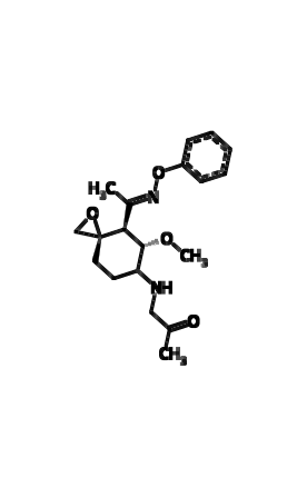 CO[C@@H]1C(NCC(C)=O)CC[C@]2(CO2)[C@H]1/C(C)=N/Oc1ccccc1